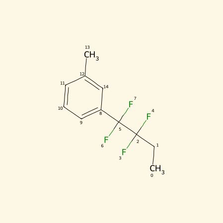 CCC(F)(F)C(F)(F)c1cccc(C)c1